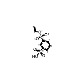 C=COS(=O)(=O)c1cccc(S(=O)(=O)O)c1